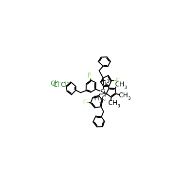 CC1=C(C)C(C)([Si](c2cc(F)cc(Cc3ccccc3)c2)(c2cc(F)cc(Cc3ccccc3)c2)c2cc(F)cc(Cc3ccccc3)c2)[C]([Ti+3])=C1C.[Cl-].[Cl-].[Cl-]